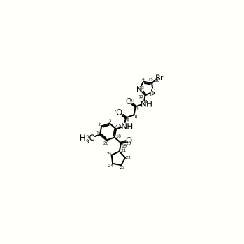 Cc1ccc(NC(=O)CC(=O)Nc2ncc(Br)s2)c(C(=O)C2CCCC2)c1